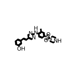 Cc1cc(S(=O)(=O)N2CCNCC2)ccc1Nc1ncc(C=Cc2cccc(O)c2)cn1